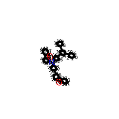 c1ccc(-c2cc(-c3ccccc3)cc(-c3ccc(N(c4ccc(-c5ccc6oc7ccccc7c6c5)cc4)c4cccc5c4oc4ccccc45)cc3)c2)cc1